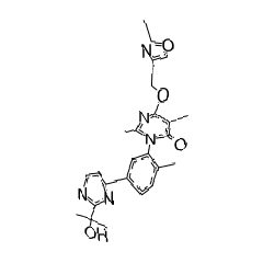 Cc1nc(COc2nc(C)n(-c3cc(-c4ccnc(C(C)(C)O)n4)ccc3C)c(=O)c2C)co1